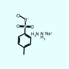 Cc1ccc(S(=O)(=O)[N-]Cl)cc1.N.N.[Na+]